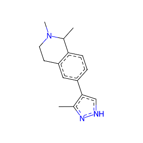 Cc1n[nH]cc1-c1ccc2c(c1)CCN(C)C2C